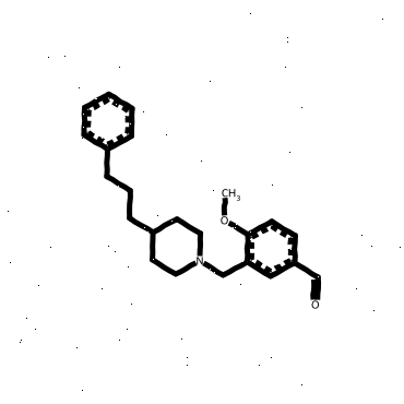 COc1ccc(C=O)cc1CN1CCC(CCCc2ccccc2)CC1